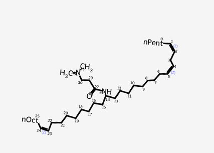 CCCCC/C=C\C/C=C\CCCCCCCCC(CCCCCCCC/C=C\CCCCCCCC)NC(=O)CCN(C)C